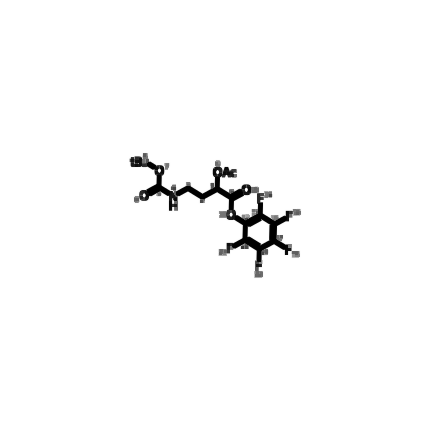 CC(=O)OC(CCNC(=O)OC(C)(C)C)C(=O)Oc1c(F)c(F)c(F)c(F)c1F